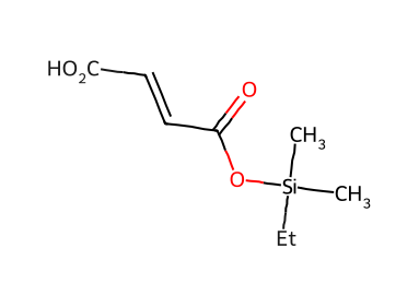 CC[Si](C)(C)OC(=O)C=CC(=O)O